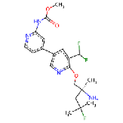 COC(=O)Nc1cc(-c2cnc(OC[C@@](C)(N)CC(C)(C)F)c(C(F)F)c2)ccn1